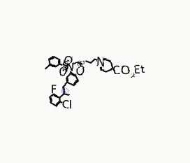 CCOC(=O)C1CCN(CCC[C@H]2CN(S(=O)(=O)c3cccc(C)c3)c3cc(/C=C(\C)c4c(F)cccc4Cl)ccc3O2)CC1